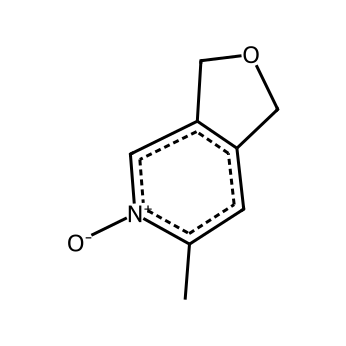 Cc1cc2c(c[n+]1[O-])COC2